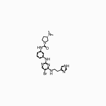 CN(C)[C@H]1CCN(C(=O)Nc2cccc(Nc3ncc(Br)c(NCCc4c[nH]cn4)n3)c2)C1